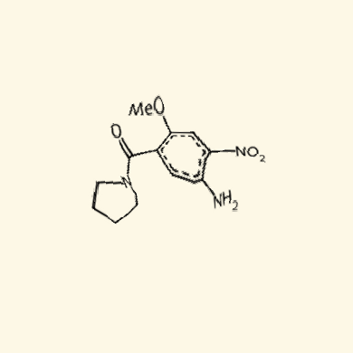 COc1cc([N+](=O)[O-])c(N)cc1C(=O)N1CCCC1